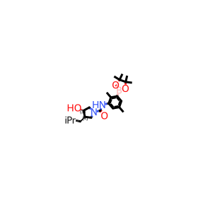 Cc1cc(NC(=O)N2C[C@@H](CC(C)C)[C@H](O)C2)c(C)c(B2OC(C)(C)C(C)(C)O2)c1